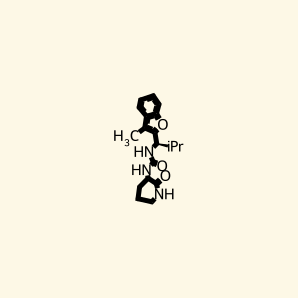 Cc1c([C@H](NC(=O)NC2CCCNC2=O)C(C)C)oc2ccccc12